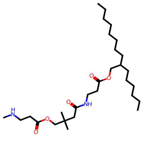 CCCCCCCCC(CCCCCC)COC(=O)CCNC(=O)CC(C)(C)COC(=O)CCNC